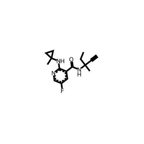 C#CC(C)(CC)NC(=O)c1cc(F)cnc1NC1(C)CC1